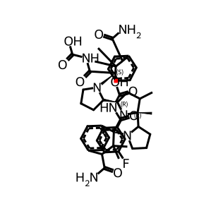 CC1C[C@H](C2CCCN2[C@]2(C(=O)NC(=O)O)c3ccc(cc3)C(C(N)=O)C2(C)C)N(c2cccc(F)c2)[C@@]1(C)C1CCCN1[C@]1(C(=O)NC(=O)O)c2ccc(cc2)C(C(N)=O)C1(C)C